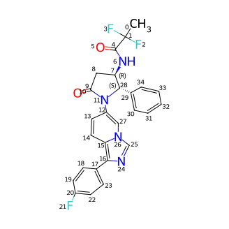 CC(F)(F)C(=O)N[C@@H]1CC(=O)N(c2ccc3c(-c4ccc(F)cc4)ncn3c2)[C@H]1c1ccccc1